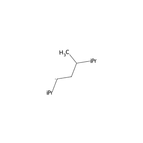 CC(C)[CH]CC(C)C(C)C